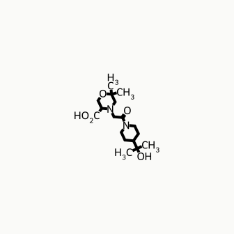 CC1(C)CN(CC(=O)N2CCC(C(C)(C)O)CC2)C(C(=O)O)CO1